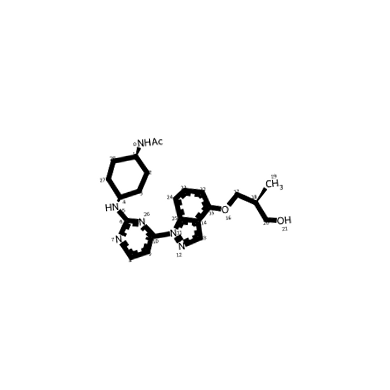 CC(=O)N[C@H]1CC[C@H](Nc2nccc(-n3ncc4c(OC[C@@H](C)CO)cccc43)n2)CC1